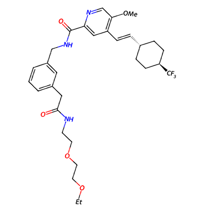 CCOCCOCCNC(=O)Cc1cccc(CNC(=O)c2cc(/C=C/[C@H]3CC[C@H](C(F)(F)F)CC3)c(OC)cn2)c1